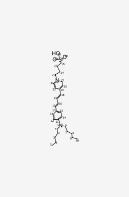 CCCCCN(CCCCC)c1ccc(C=CC=CC2=CCN(CCCCS(=O)(=O)O)C=C2)cc1